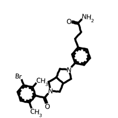 Cc1ccc(Br)c(C)c1C(=O)N1CC2CN(c3cccc(CCC(N)=O)c3)CC2C1